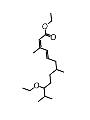 CCOC(=O)C=C(C)C=CCC(C)CCC(OCC)C(C)C